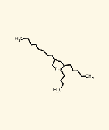 CCCCCCCCC([CH]C(CCCCC)CCCCC)CC